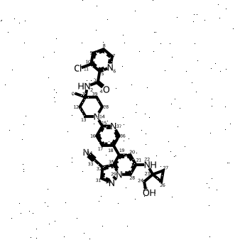 CC1(NC(=O)c2ncccc2Cl)CCN(c2ccc(-c3cc(NC4(CO)CC4)cn4ncc(C#N)c34)cn2)CC1